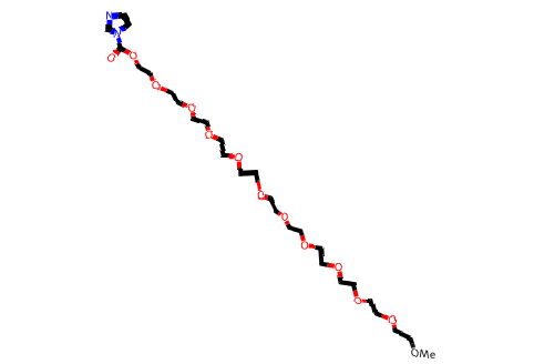 COCCOCCOCCOCCOCCOCCOCCOCCOCCOCCOCCOC(=O)n1ccnc1